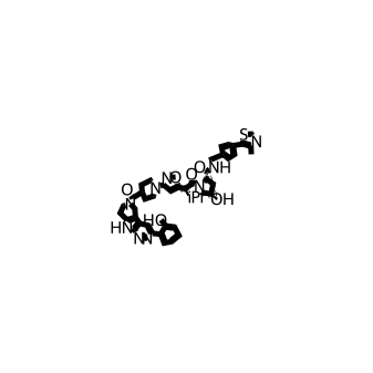 Cc1ncsc1-c1ccc(CNC(=O)[C@@H]2C[C@@H](O)CN2C(=O)[C@H](c2cc(N3CCC(C(=O)N4CCc5[nH]c6nnc(-c7ccccc7O)cc6c5C4)CC3)no2)C(C)C)cc1